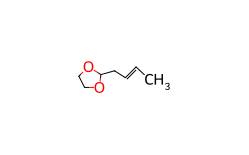 C/C=C/CC1OCCO1